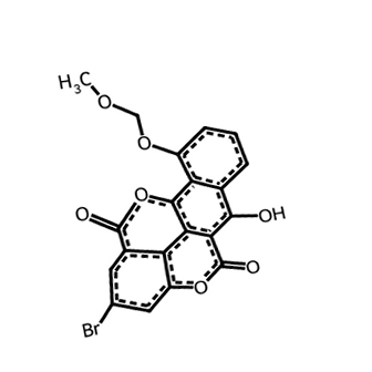 COCOc1cccc2c(O)c3c(=O)oc4cc(Br)cc5c(=O)oc(c12)c3c45